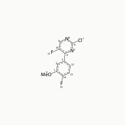 COc1cc(-c2nc(Cl)ncc2F)ccc1F